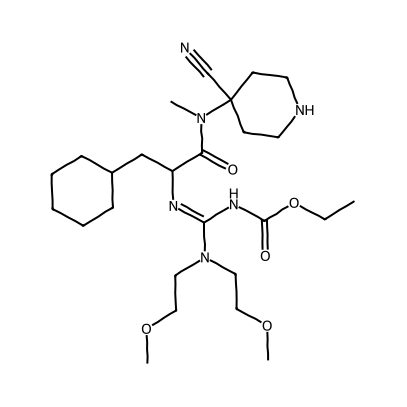 CCOC(=O)NC(=NC(CC1CCCCC1)C(=O)N(C)C1(C#N)CCNCC1)N(CCOC)CCOC